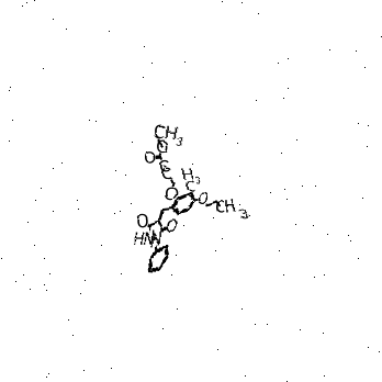 CCCOc1ccc(/C=C2/C(=O)NN(c3ccccc3)C2=O)c(OCCCC(=O)OCC)c1C